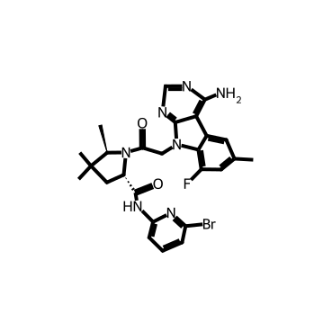 Cc1cc(F)c2c(c1)c1c(N)ncnc1n2CC(=O)N1[C@H](C(=O)Nc2cccc(Br)n2)CC(C)(C)[C@H]1C